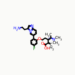 C=C(C(=O)O)/C(CCOc1cc(F)ccc1-c1ccc2ncc(CCN)n2c1)=C(/C)N(C)C